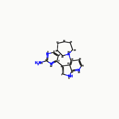 Nc1nccc(-c2c[nH]c3nccc(N4CCCCCC4)c23)n1